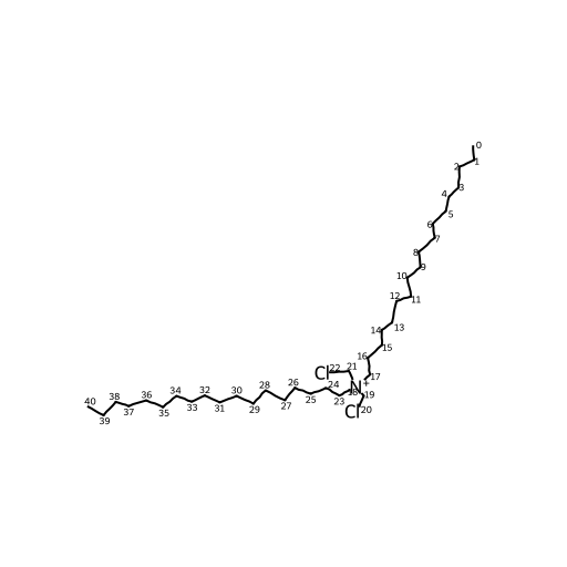 CCCCCCCCCCCCCCCCCC[N+](CCl)(CCl)CCCCCCCCCCCCCCCCCC